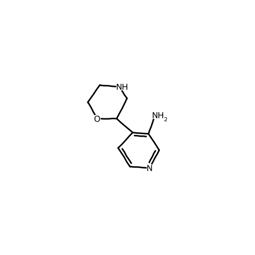 Nc1cnccc1C1CNCCO1